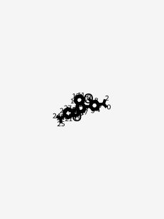 CC(C)c1ccc2c(c1)Oc1cccc3c1c-2cc1oc2cc(C(C)C)ccc2c13